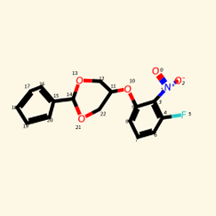 O=[N+]([O-])c1c(F)cccc1OC1COC(c2ccccc2)OC1